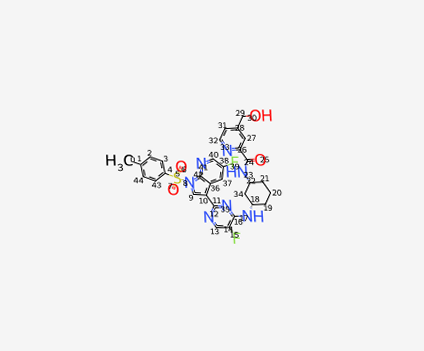 Cc1ccc(S(=O)(=O)n2cc(-c3ncc(F)c(N[C@H]4CCC[C@@H](NC(=O)c5cc(CO)ccn5)C4)n3)c3cc(F)cnc32)cc1